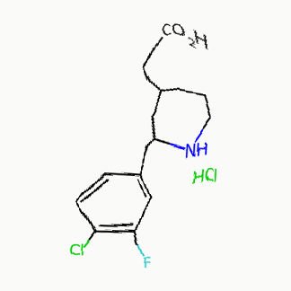 Cl.O=C(O)CC1CCNC(c2ccc(Cl)c(F)c2)C1